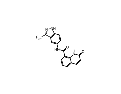 O=C(Nc1ccc2[nH]nc(C(F)(F)F)c2c1)c1cccc2ccc(=O)[nH]c12